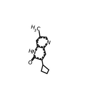 Cc1cnc2cc(C3CCC3)c(=O)[nH]c2c1